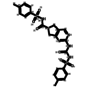 Cc1ccc(S(=O)(=O)NC(=O)Nc2ncc3c(n2)CN(C(=O)NS(=O)(=O)c2ccc(C)cc2)C3)cc1